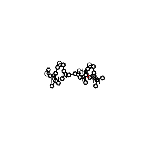 CC1(C)c2ccc(-c3ccc4c(c3)c3cc(-c5cccc6oc7ccc(-c8ccc9c(c8)c8c%10c(ccc8n9-c8nc(-c9ccccc9)c9ccccc9n8)oc8ccccc8%10)cc7c56)ccc3n4-c3ccccc3)cc2-c2ccc3c(c21)c1cc(-c2ccc4oc5cccc(-c6ccc7c(c6)c6ccccc6n7-c6nc(-c7ccccc7)nc(-c7ccccc7)n6)c5c4c2)ccc1n3-c1ccccc1